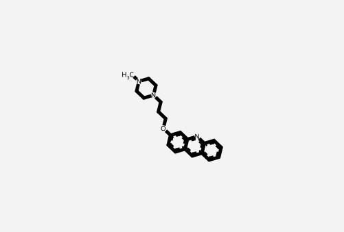 CN1CCN(CCCOc2ccc3cc4ccccc4nc3c2)CC1